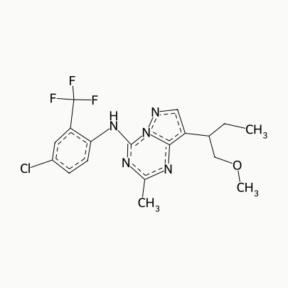 CCC(COC)c1cnn2c(Nc3ccc(Cl)cc3C(F)(F)F)nc(C)nc12